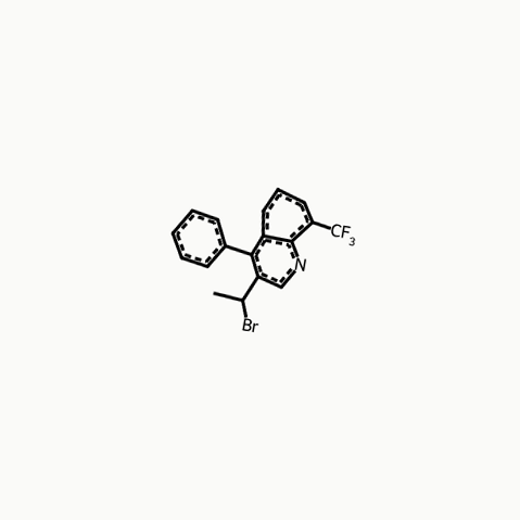 CC(Br)c1cnc2c(C(F)(F)F)cccc2c1-c1ccccc1